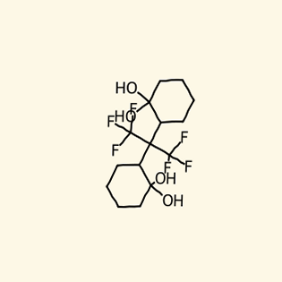 OC1(O)CCCCC1C(C1CCCCC1(O)O)(C(F)(F)F)C(F)(F)F